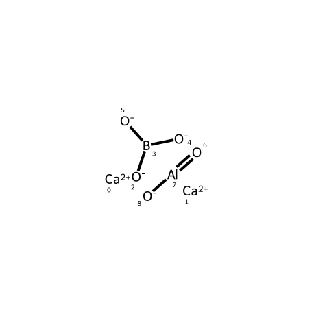 [Ca+2].[Ca+2].[O-]B([O-])[O-].[O]=[Al][O-]